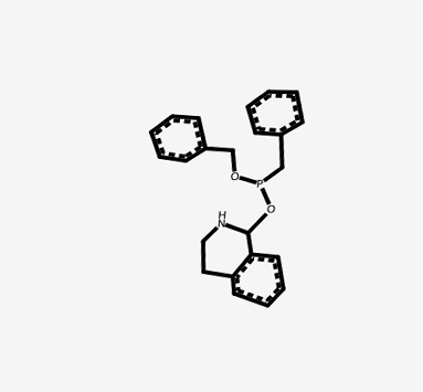 c1ccc(COP(Cc2ccccc2)OC2NCCc3ccccc32)cc1